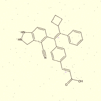 N#Cc1c(/C(=C(/c2ccccc2)C2CCC2)c2ccc(/C=C/C(=O)O)cc2)ccc2c1CNN2